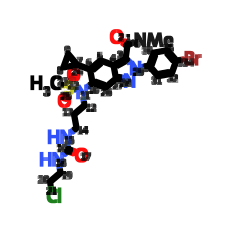 CNC(=O)c1c2cc(C3CC3)c(N(CCCNC(=O)NCCCl)S(C)(=O)=O)cc2nn1-c1ccc(Br)cc1